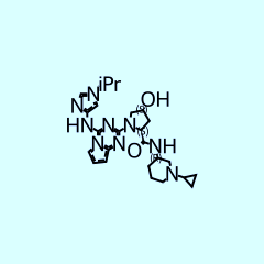 CC(C)n1cnc(Nc2nc(N3C[C@@H](O)C[C@H]3C(=O)N[C@@H]3CCCN(C4CC4)C3)nc3cccn23)c1